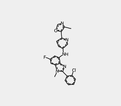 Cc1ncoc1-c1ccc(Nc2cc(F)cc3c2nc(-c2ccccc2Cl)n3C)cn1